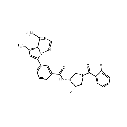 Nc1ncnn2c(-c3cccc(C(=O)N[C@@H]4CN(C(=O)c5ccccc5F)C[C@@H]4F)c3)cc(C(F)(F)F)c12